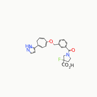 O=C(c1cccc(COC2=CC=C(c3ccn[nH]3)CC=C2)c1)N1CCC(F)(C(=O)O)C1